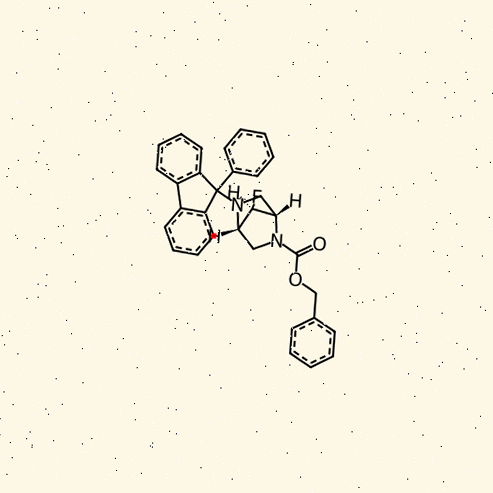 O=C(OCc1ccccc1)N1C[C@H]2[C@@H](F)[C@@H]1CN2C1(c2ccccc2)c2ccccc2-c2ccccc21